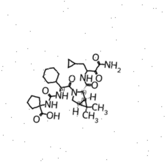 CC1(C)[C@@H]2[C@@H](C(=O)NC(CC3CC3)C(=O)C(N)=O)N(C(=O)[C@@H](NC(=O)NC3(C(=O)O)CCCC3)C3CCCCC3)C[C@@H]21